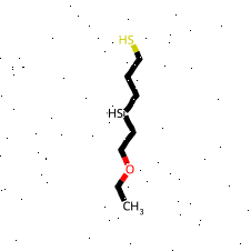 CCOCC[SiH]CCCS